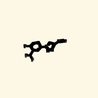 CNc1cn(-c2ccc(F)c(C(F)F)c2)nn1